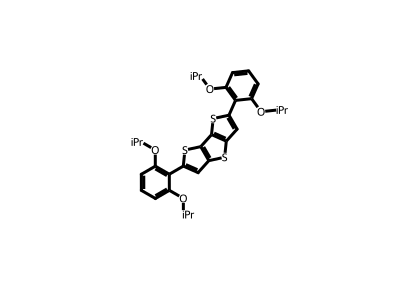 CC(C)Oc1cccc(OC(C)C)c1-c1cc2sc3cc(-c4c(OC(C)C)cccc4OC(C)C)sc3c2s1